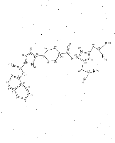 O=C(Oc1cccc2ccccc12)c1csc(C2CCN(C(=O)Cn3nc(CC(F)F)cc3CC(F)F)CC2)n1